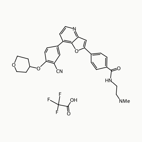 CNCCNC(=O)c1ccc(-c2cc3nccc(-c4ccc(OC5CCOCC5)c(C#N)c4)c3o2)cc1.O=C(O)C(F)(F)F